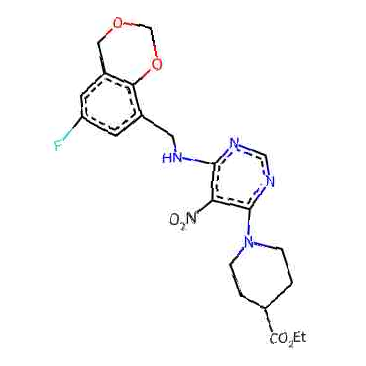 CCOC(=O)C1CCN(c2ncnc(NCc3cc(F)cc4c3OCOC4)c2[N+](=O)[O-])CC1